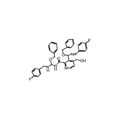 O=C(NC(NCc1ccc(F)cc1)OCc1ccccc1)c1nccc(CO)c1C(NCc1ccc(F)cc1)OCc1ccccc1